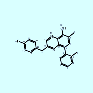 Cc1ccccc1-c1cc(C)c(O)c2ncc(Cc3ccc(F)cc3)cc12